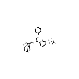 CC(C)(C)[Si](C)(C)Oc1cccc(C(COc2ccccc2)OC=C2C3CC4CC(C3)CC2C4)c1